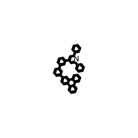 c1ccc(-c2cc(-c3cccc(-c4cccc(-c5ccc6c7ccccc7c7ccccc7c6c5)c4)c3)cc(-c3ccccc3)n2)cc1